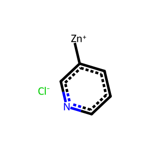 [Cl-].[Zn+][c]1cccnc1